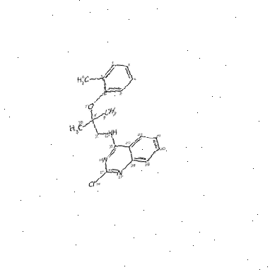 Cc1ccccc1OC(C)(C)CNc1nc(Cl)nc2ccccc12